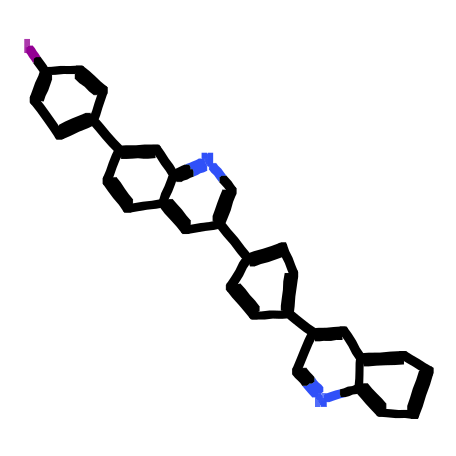 Ic1ccc(-c2ccc3cc(-c4ccc(-c5cnc6ccccc6c5)cc4)cnc3c2)cc1